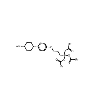 CCC[C@H]1CC[C@H](c2ccc(OCCC[Si](OC(=O)C(C)C)(OC(=O)C(C)C)OC(=O)C(C)C)cc2)CC1